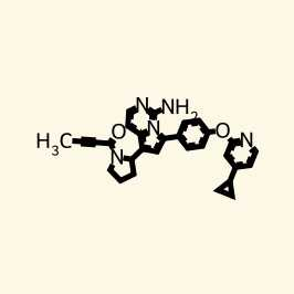 CC#CC(=O)N1CCCC1c1cc(-c2ccc(Oc3cc(C4CC4)ccn3)cc2)n2c(N)nccc12